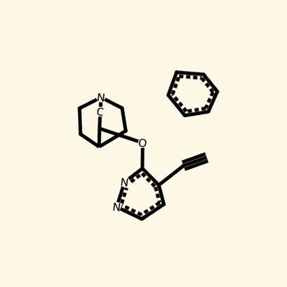 C#Cc1ccnnc1OC1CN2CCC1CC2.c1ccccc1